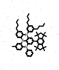 CCCCc1cc(CCCC)cc(N2c3cc(CCCC)ccc3B3c4cc(C)ccc4N(c4ccccc4)c4cc(-c5c6c(cc7c5C(C)(C)CC7(C)C)C(C)(C)CC6(C)C)cc2c43)c1